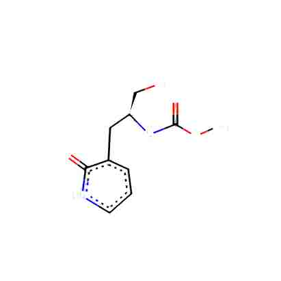 CC(C)(C)OC(=O)N[C@H](CO)Cc1ccc[nH]c1=O